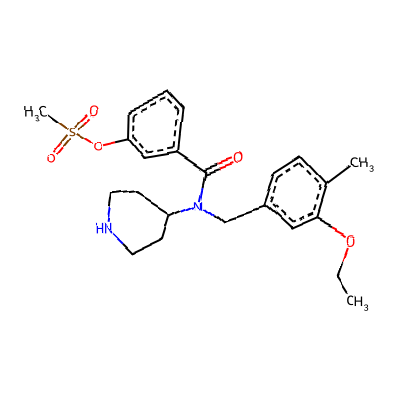 CCOc1cc(CN(C(=O)c2cccc(OS(C)(=O)=O)c2)C2CCNCC2)ccc1C